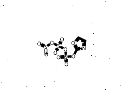 O=[SH](=O)OS(=O)(=O)OS(=O)(=O)Oc1ncco1